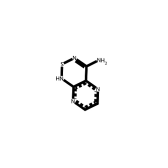 NC1=NSNc2nccnc21